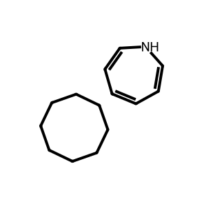 C1=CC=CNC=C1.C1CCCCCCC1